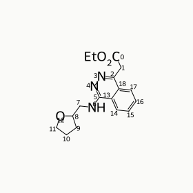 CCOC(=O)Cc1nnc(NCC2CCCO2)c2ccccc12